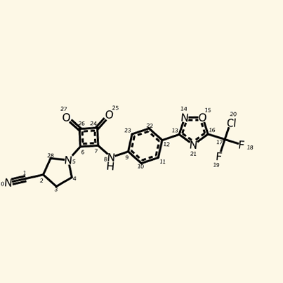 N#CC1CCN(c2c(Nc3ccc(-c4noc(C(F)(F)Cl)n4)cc3)c(=O)c2=O)C1